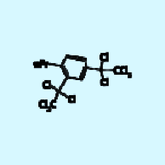 CC[CH]c1ccc(C(Cl)(Cl)C(Cl)(Cl)Cl)cc1C(Cl)(Cl)C(Cl)(Cl)Cl